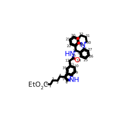 CCOC(=O)CCCCc1c[nH]c2ccc(CC(=O)NC(c3ccccc3)c3ccccc3N3CCCCC3)cc12